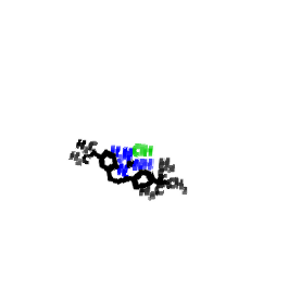 CC(C)c1ccc2c(c1)CCC(c1ccc(C(C)(C)C)cc1)N2C(=N)N.Cl